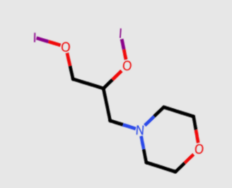 IOCC(CN1CCOCC1)OI